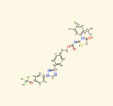 Cc1cc(N2C(=O)CS/C2=N\C(=O)OCCc2ccc(-c3ncn(-c4ccc(OC(F)(F)F)cc4)n3)cc2)c(C(C)C)cc1F